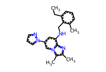 CCc1cccc(C)c1CNc1cc(-n2cccn2)cn2c(C)c(C)nc12